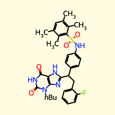 CCCCn1c(=O)[nH]c(=O)c2[nH]c(C(Cc3ccccc3F)c3ccc(NS(=O)(=O)c4c(C)c(C)cc(C)c4C)cc3)nc21